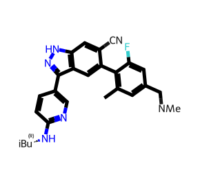 CC[C@@H](C)Nc1ccc(-c2n[nH]c3cc(C#N)c(-c4c(C)cc(CNC)cc4F)cc23)cn1